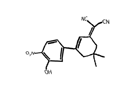 CC1(C)CC(c2ccc([N+](=O)[O-])c(O)c2)=CC(=C(C#N)C#N)C1